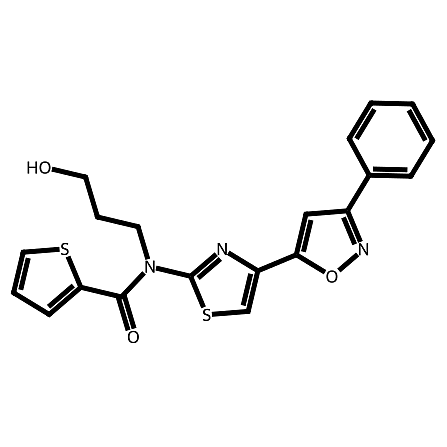 O=C(c1cccs1)N(CCCO)c1nc(-c2cc(-c3ccccc3)no2)cs1